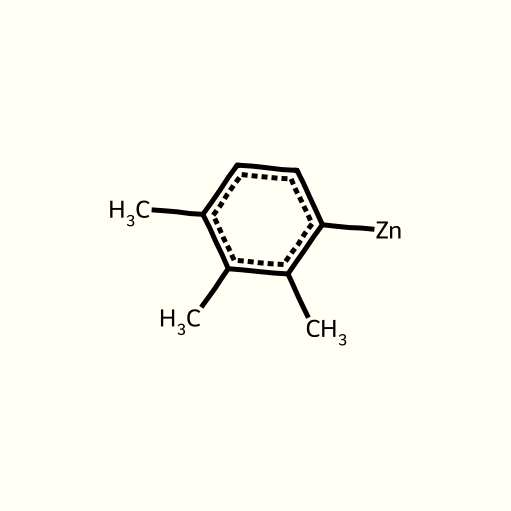 Cc1cc[c]([Zn])c(C)c1C